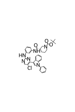 CC(C)(C)OC(=O)N1CCC[C@H](C(=O)Nc2cccc(Nc3ncc(Cl)c(-c4cn(-c5ccccc5)c5ccccc45)n3)c2)C1